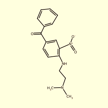 CN(C)CCNc1ccc(C(=O)c2ccccc2)cc1[N+](=O)[O-]